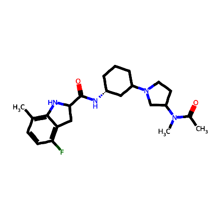 CC(=O)N(C)C1CCN(C2CCC[C@@H](NC(=O)C3Cc4c(F)ccc(C)c4N3)C2)C1